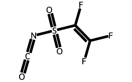 O=C=NS(=O)(=O)C(F)=C(F)F